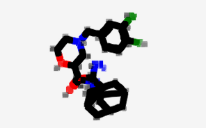 NC(=O)C12CC3CC(C1)C(NC(=O)C1CN(Cc4ccc(F)c(Br)c4)CCO1)C(C3)C2